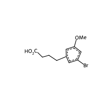 COc1cc(Br)cc(CCCC(=O)O)c1